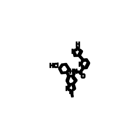 Cl.Cn1cc2cc(NC(=O)c3cccc(-c4cn[nH]c4)n3)c(C3CCCCC3)cc2n1